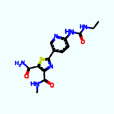 CCNC(=O)Nc1ccc(-c2nc(C(=O)NC)c(C(N)=O)s2)cn1